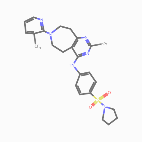 CCCc1nc2c(c(Nc3ccc(S(=O)(=O)N4CCCC4)cc3)n1)CCN(c1ncccc1C(F)(F)F)CC2